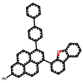 CC(C)(C)c1cc2ccc3c(-c4ccc(-c5ccccc5)cc4)cc(-c4cccc5c4oc4ccccc45)c4ccc(c1)c2c34